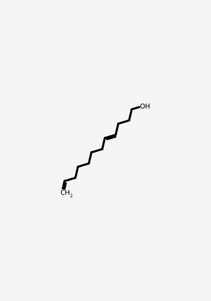 C=CCCCCCC=CCCCO